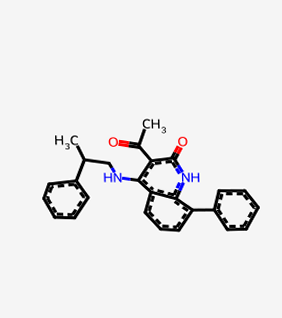 CC(=O)c1c(NCC(C)c2ccccc2)c2cccc(-c3ccccc3)c2[nH]c1=O